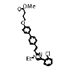 CCn1cc(-c2ccccc2Cl)nc1C=Cc1ccc(-c2ccc(OCCCC(=O)OC)cc2)cc1